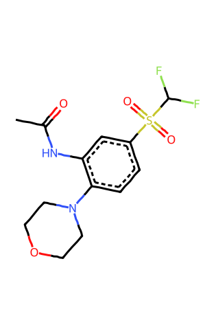 CC(=O)Nc1cc(S(=O)(=O)C(F)F)ccc1N1CCOCC1